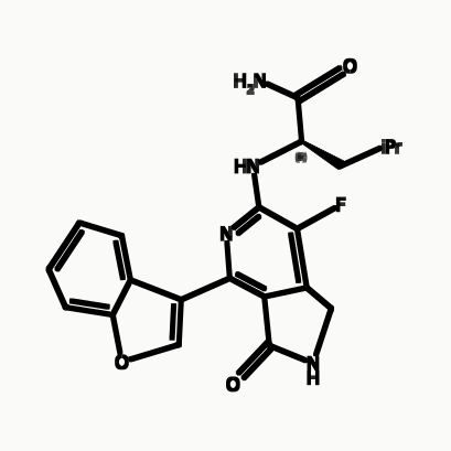 CC(C)C[C@@H](Nc1nc(-c2coc3ccccc23)c2c(c1F)CNC2=O)C(N)=O